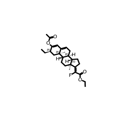 CCOC(=O)C(F)=C1CC[C@H]2[C@@H]3CC=C4C=C(OC(C)=O)[C@H](CC)C[C@]4(C)[C@H]3CC[C@]12C